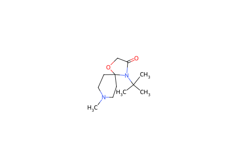 CN1CCC2(CC1)OCC(=O)N2C(C)(C)C